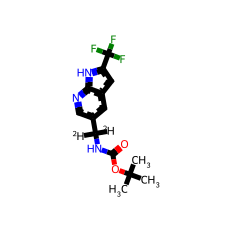 [2H]C([2H])(NC(=O)OC(C)(C)C)c1cnc2[nH]c(C(F)(F)F)cc2c1